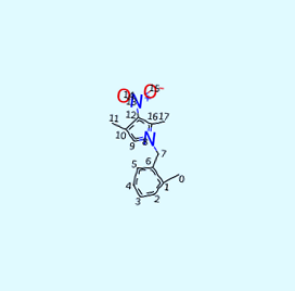 Cc1ccccc1Cn1cc(C)c([N+](=O)[O-])c1C